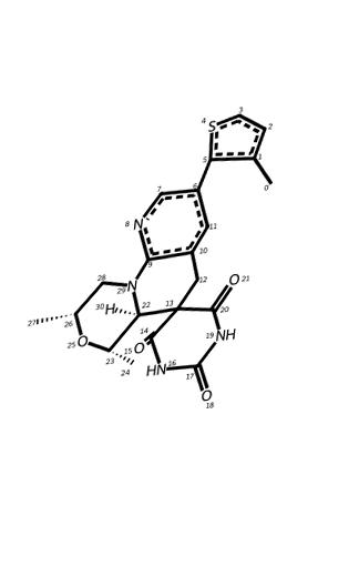 Cc1ccsc1-c1cnc2c(c1)CC1(C(=O)NC(=O)NC1=O)[C@H]1[C@H](C)O[C@H](C)CN21